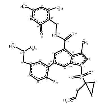 C=CCC1(S(=O)(=O)n2cc(C)c3c(C(=O)NCc4c(C)cc(C)[nH]c4=O)cc(-c4cc(CN(C)C)ccc4F)cc32)CC1